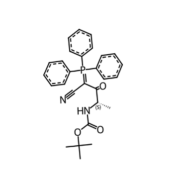 C[C@H](NC(=O)OC(C)(C)C)C(=O)C(C#N)=P(c1ccccc1)(c1ccccc1)c1ccccc1